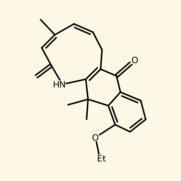 C=C1/C=C(C)\C=C/CC2=C(N1)C(C)(C)c1c(OCC)cccc1C2=O